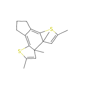 CC1=CC2(C)C(=C3CCCC3=C3SC(C)=CC32C)S1